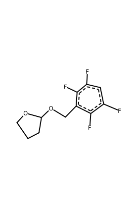 Fc1cc(F)c(F)c(COC2CCCO2)c1F